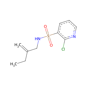 C=C(CC)CNS(=O)(=O)c1cccnc1Cl